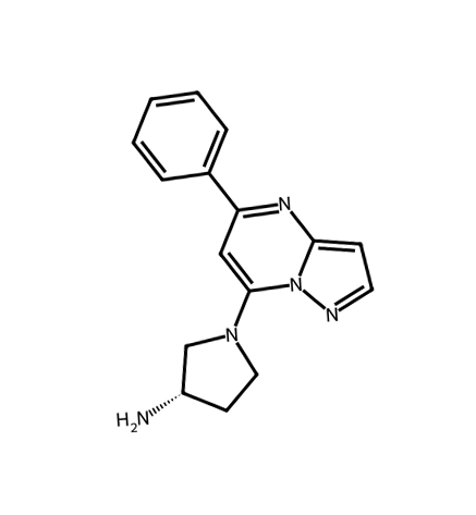 N[C@H]1CCN(c2cc(-c3ccccc3)nc3ccnn23)C1